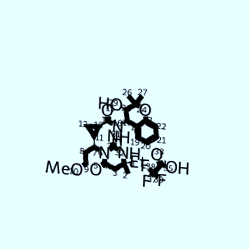 CC[C@]1(C)CC(=O)N(C(CCOC)[C@@H]2C[C@H]2C(=O)N[C@@H]2c3ccccc3OC(C)(C)[C@H]2O)C(=N)N1.O=C(O)C(F)(F)F